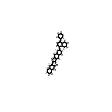 c1ccc(-c2ccc(-c3ccc4cc5c(cc4c3)sc3c4cc6ccccc6cc4sc53)c3ccccc23)cc1